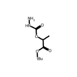 CC(OC(=O)NN)C(=O)OC(C)(C)C